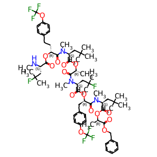 CN[C@@H](CC(C)(C)F)C(=O)O[C@H](CCc1ccc(OC(F)(F)F)cc1)C(=O)N(C)[C@@H](CC(C)(C)C)C(=O)O[C@H](C)C(=O)N(C)[C@@H](CC(C)(C)F)C(=O)O[C@H](Cc1ccc(OC(F)(F)F)cc1)C(=O)N(C)[C@@H](CC(C)(C)C)C(=O)O[C@H](C)C(=O)OCc1ccccc1